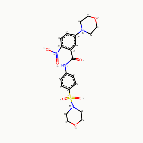 O=C(Nc1ccc(S(=O)(=O)N2CCOCC2)cc1)c1cc(N2CCOCC2)ccc1[N+](=O)[O-]